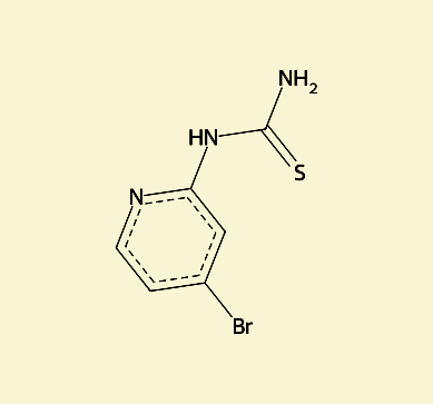 NC(=S)Nc1cc(Br)ccn1